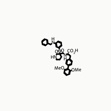 COc1cccc(OC)c1-c1ccc(C[C@H](NCC2(S(=O)(=O)c3cccc(NCc4ccccc4)c3)CCCNC2)C(=O)O)cc1